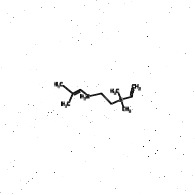 C=C[Si](C)(C)CC[SiH2]C=C(C)C